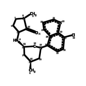 C[C@H]1C[C@@H](NC2CCN(C)C2=O)CN(c2ccc(Cl)c3ncccc23)C1